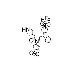 CS(=O)(=O)c1ccc(N(CCC(c2ccccc2)C2CCN(S(=O)(=O)C(F)(F)F)CC2)C(=O)CC2CCNCC2)cc1